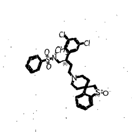 CN(C[C@H](CCN1CCC2(CC1)C[S@+]([O-])c1ccccc12)c1cc(Cl)cc(Cl)c1)S(=O)(=O)c1ccccc1